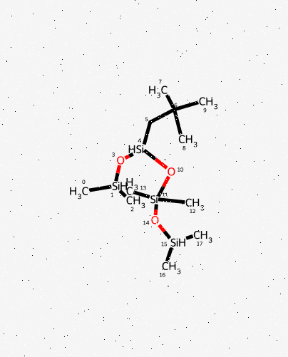 C[SiH](C)O[SiH](CC(C)(C)C)O[Si](C)(C)O[SiH](C)C